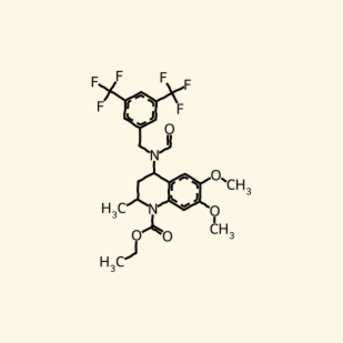 CCOC(=O)N1c2cc(OC)c(OC)cc2C(N(C=O)Cc2cc(C(F)(F)F)cc(C(F)(F)F)c2)CC1C